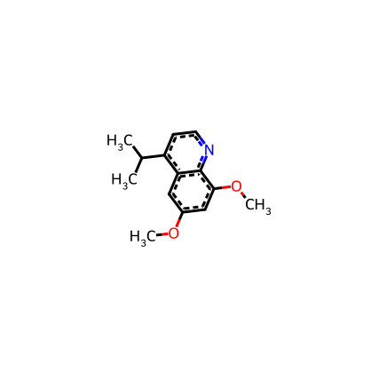 COc1cc(OC)c2nccc(C(C)C)c2c1